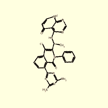 C[C@H](Nc1ncnc2[nH]ccc(=O)c12)c1c(Cl)c2cccc(-c3nc(N)nc(N)n3)c2c(=O)n1-c1ccccc1